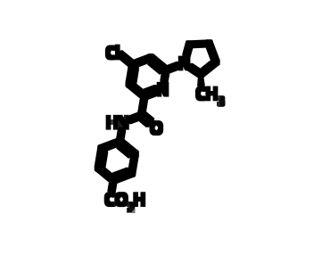 C[C@@H]1CCCN1c1cc(Cl)cc(C(=O)Nc2ccc(C(=O)O)cc2)n1